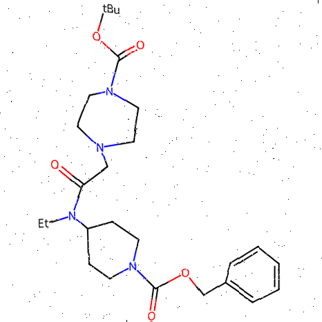 CCN(C(=O)CN1CCN(C(=O)OC(C)(C)C)CC1)C1CCN(C(=O)OCc2ccccc2)CC1